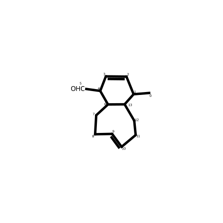 CC1C=CC(C=O)C2CC/C=C/CCC12